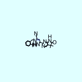 CC1(C)C(=O)Nc2nc(C(=N)/C=C(/C#N)NCc3ccccc3F)ncc21